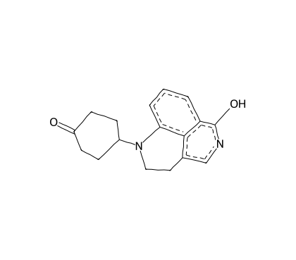 O=C1CCC(N2CCc3cnc(O)c4cccc2c34)CC1